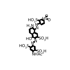 CC(=O)Nc1cc(S(=O)(=O)O)c(N=Nc2c(S(=O)(=O)O)cc3c(N=Nc4ccc([SH](=O)=O)cc4S(=O)(=O)O)c(N)ccc3c2O)cc1S(=O)(=O)O